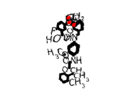 COc1cc(NCc2cccc(OC)c2Oc2c([N+](=O)[O-])ccc(F)c2C(=O)O)ccc1NC(=O)COC1CCCC(C)C1C(C)C